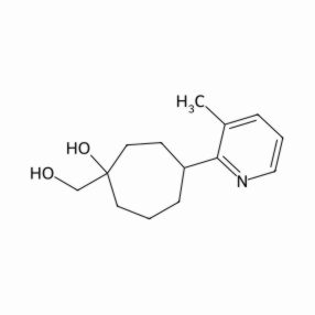 Cc1cccnc1C1CCCC(O)(CO)CC1